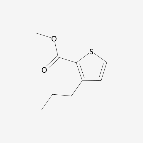 CCCc1ccsc1C(=O)OC